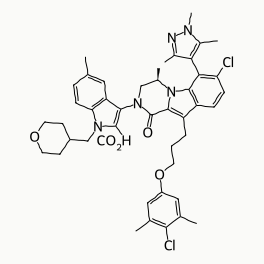 Cc1ccc2c(c1)c(N1C[C@@H](C)n3c(c(CCCOc4cc(C)c(Cl)c(C)c4)c4ccc(Cl)c(-c5c(C)nn(C)c5C)c43)C1=O)c(C(=O)O)n2CC1CCOCC1